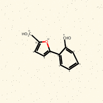 O=Cc1ccccc1-c1ccc(C(=O)O)o1